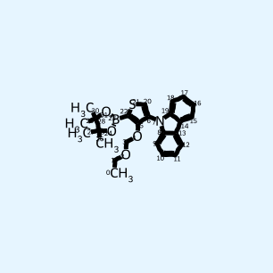 CCOCOc1c(-n2c3ccccc3c3ccccc32)csc1B1OC(C)(C)C(C)(C)O1